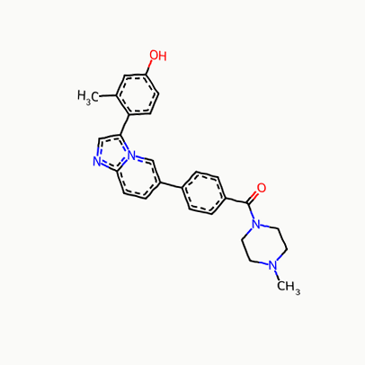 Cc1cc(O)ccc1-c1cnc2ccc(-c3ccc(C(=O)N4CCN(C)CC4)cc3)cn12